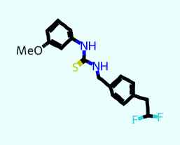 COc1cccc(NC(=S)NCc2ccc(CC(F)F)cc2)c1